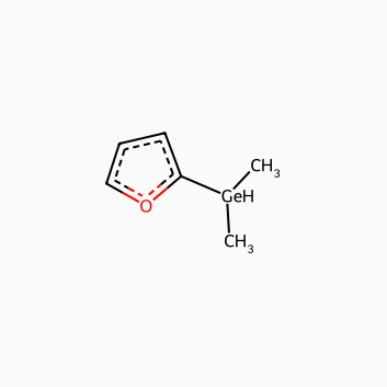 [CH3][GeH]([CH3])[c]1ccco1